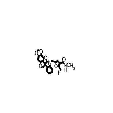 CNC(=O)c1cc(CN2C(=O)C3(COc4cc5c(cc43)OCO5)c3ccccc32)oc1CF